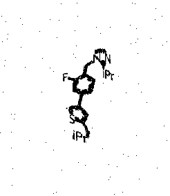 CC(C)Cc1cc(-c2ccc(Cn3ccnc3C(C)C)c(F)c2)[c]s1